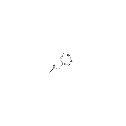 CNCc1cncc(C)c1